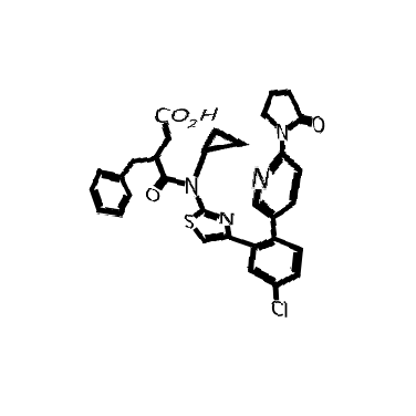 O=C(O)CC(Cc1ccccc1)C(=O)N(c1nc(-c2cc(Cl)ccc2-c2ccc(N3CCCC3=O)nc2)cs1)C1CC1